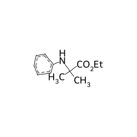 CCOC(=O)C(C)(C)Nc1ccccc1